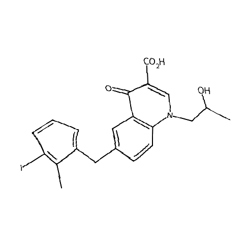 Cc1c(I)cccc1Cc1ccc2c(c1)c(=O)c(C(=O)O)cn2CC(C)O